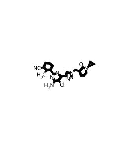 Cc1c(C#N)cccc1-c1nc(N)c(Cl)c(-c2cn(Cc3cccn(C4CC4)c3=O)nn2)n1